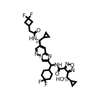 O=C(CC1CC(F)(F)C1)N[C@@H](c1cnn2cc(C(NC(=O)c3nonc3[C@@H](O)C3CC3)C3CCC(F)(F)CC3)nc2c1)C1CC1